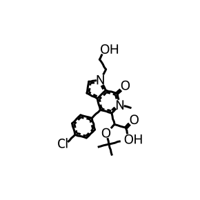 Cn1c(C(OC(C)(C)C)C(=O)O)c(-c2ccc(Cl)cc2)c2ccn(CCO)c2c1=O